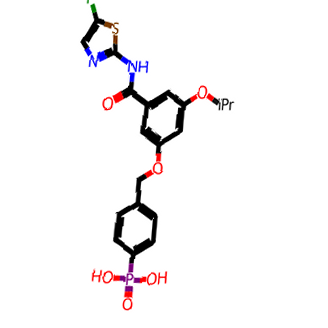 CC(C)Oc1cc(OCc2ccc(P(=O)(O)O)cc2)cc(C(=O)Nc2ncc(F)s2)c1